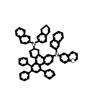 C1=Cc2ccc(N(c3ccc4ccccc4c3)C3C=Cc4c(c5cc(N(c6ccc7ccccc7c6)c6ccc7ccccc7c6)ccc5c5c(-c6ccccc6)cc(-c6ccccc6)c(-c6ccccc6)c45)C3)cc2CC1